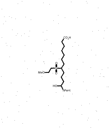 CCCCCC(O)CCCC(CCCCCCC(=O)O)S(=O)(=O)CCOC